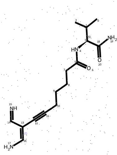 CC(C)[C@H](NC(=O)CCCCC#C/C(C=N)=C/N)C(N)=O